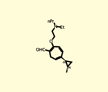 CCCN(CC)CCOC1=C(C=O)CC=C([C@H]2C[C@H]2C)C=C1